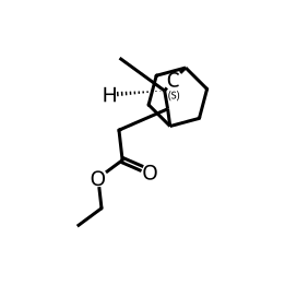 CCOC(=O)CC1C2CCC(CC2)C[C@@H]1C